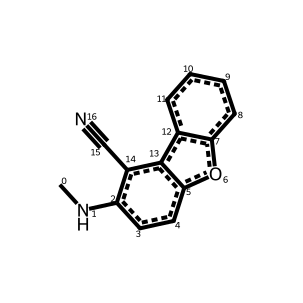 CNc1ccc2oc3ccccc3c2c1C#N